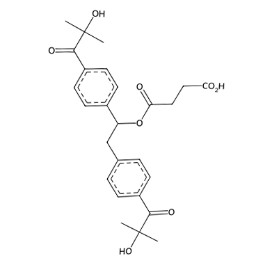 CC(C)(O)C(=O)c1ccc(CC(OC(=O)CCC(=O)O)c2ccc(C(=O)C(C)(C)O)cc2)cc1